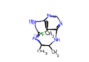 Cc1c2ncnc1NC(C)C(C)/N=C(\F)N2